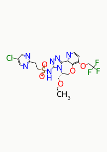 CCOC[C@H]1COc2c(OCC(F)(F)F)ccnc2-c2nnc(NS(=O)(=O)CCc3ncc(Cl)cn3)n21